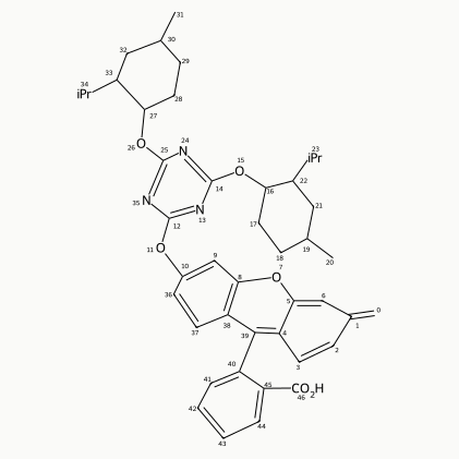 C=c1ccc2c(c1)Oc1cc(Oc3nc(OC4CCC(C)CC4C(C)C)nc(OC4CCC(C)CC4C(C)C)n3)ccc1C=2c1ccccc1C(=O)O